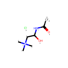 C[N+](C)(C)CC(O)NC(=O)C(F)(F)F.[Cl-]